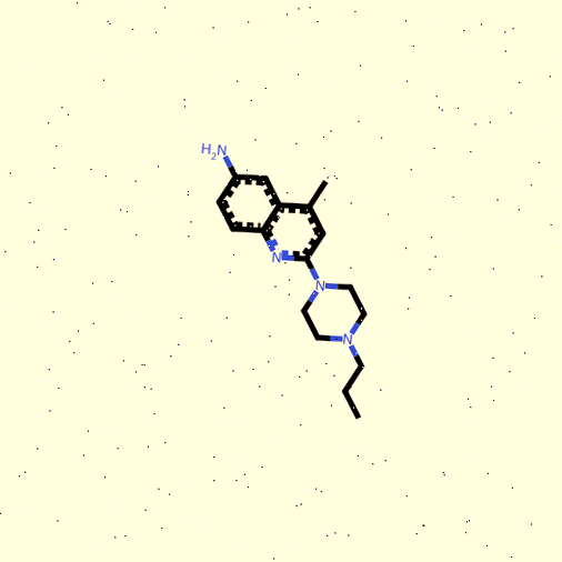 CCCN1CCN(c2cc(C)c3cc(N)ccc3n2)CC1